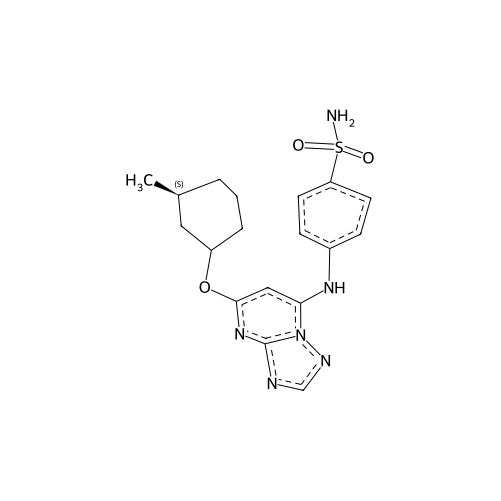 C[C@H]1CCCC(Oc2cc(Nc3ccc(S(N)(=O)=O)cc3)n3ncnc3n2)C1